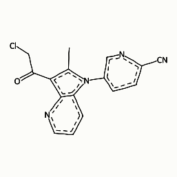 Cc1c(C(=O)CCl)c2ncccc2n1-c1ccc(C#N)nc1